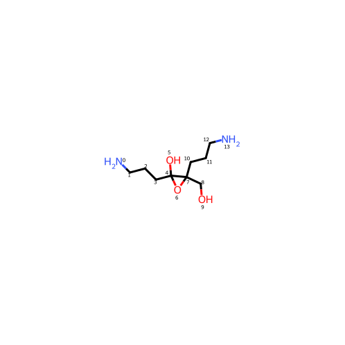 NCCCC1(O)OC1(CO)CCCN